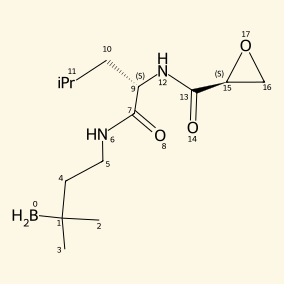 BC(C)(C)CCNC(=O)[C@H](CC(C)C)NC(=O)[C@@H]1CO1